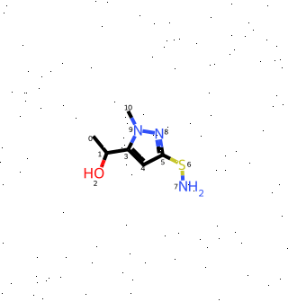 CC(O)c1cc(SN)nn1C